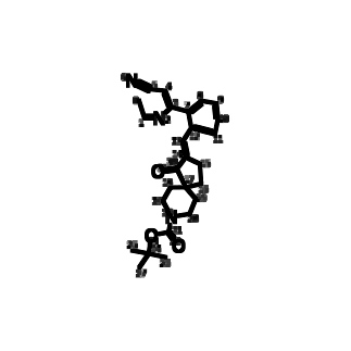 C/C=N\C(=C/C#N)c1ccccc1/C=C1\CCC2(CCN(C(=O)OC(C)(C)C)CC2)C1=O